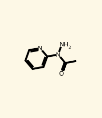 CC(=O)N(N)c1ccccn1